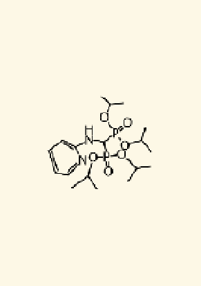 CC(C)OP(=O)(OC(C)C)C(Nc1ccccn1)P(=O)(OC(C)C)OC(C)C